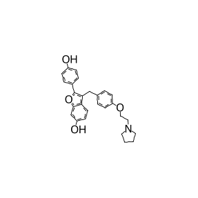 Oc1ccc(-c2oc3cc(O)ccc3c2Cc2ccc(OCCN3CCCC3)cc2)cc1